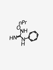 CCCONC(=N)Nc1ccccc1